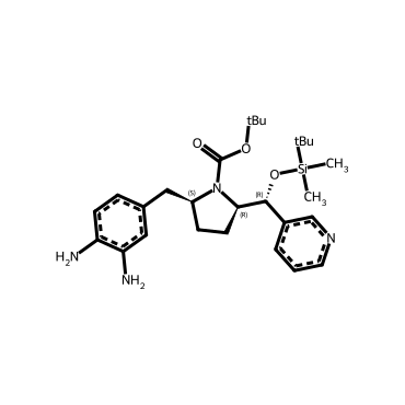 CC(C)(C)OC(=O)N1[C@H](Cc2ccc(N)c(N)c2)CC[C@@H]1[C@H](O[Si](C)(C)C(C)(C)C)c1cccnc1